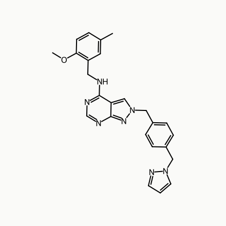 COc1ccc(C)cc1CNc1ncnc2nn(Cc3ccc(Cn4cccn4)cc3)cc12